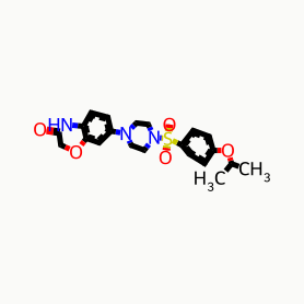 CC(C)Oc1ccc(S(=O)(=O)N2CCN(c3ccc4c(c3)OCC(=O)N4)CC2)cc1